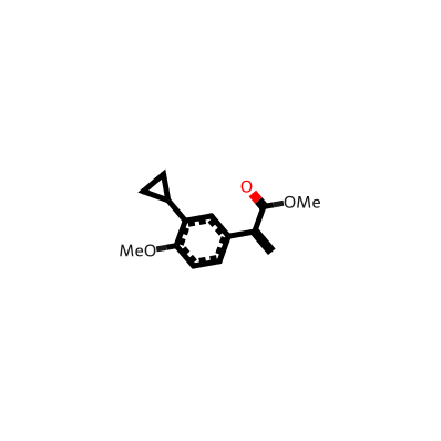 C=C(C(=O)OC)c1ccc(OC)c(C2CC2)c1